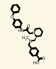 CN(Cc1ccc(C(=O)O)cc1)C[C@@H]1CCCCN1CC(=O)Nc1ccc(Oc2ccccc2)cc1